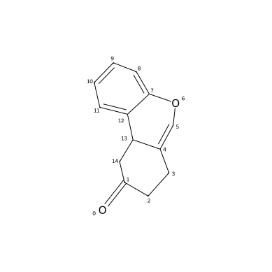 O=C1CCC2=COc3ccccc3C2C1